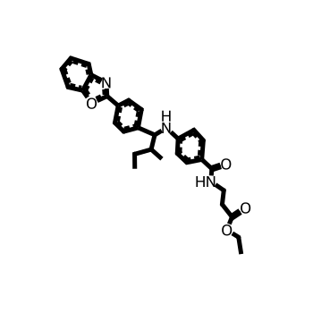 CCOC(=O)CCNC(=O)c1ccc(NC(c2ccc(-c3nc4ccccc4o3)cc2)C(C)CC)cc1